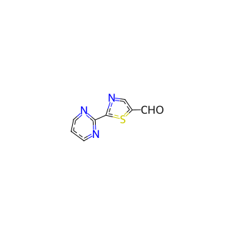 O=Cc1cnc(-c2ncccn2)s1